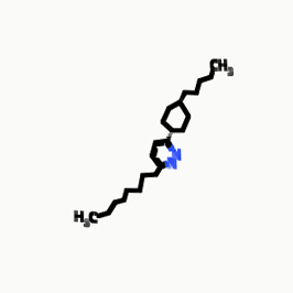 CCCCCCCCc1ccc([C@H]2CC[C@H](CCCCC)CC2)nn1